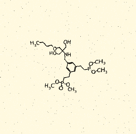 CCCCOCC(CO)(CO)NCc1cc(CCP(OC)OC)cc(CCP(=O)(OC)OC)c1